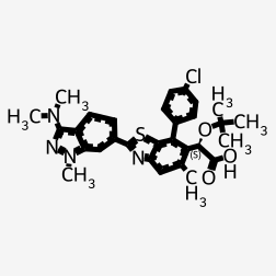 Cc1cc2nc(-c3ccc4c(N(C)C)nn(C)c4c3)sc2c(-c2ccc(Cl)cc2)c1[C@H](OC(C)(C)C)C(=O)O